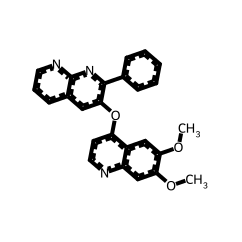 COc1cc2nccc(Oc3cc4cccnc4nc3-c3ccccc3)c2cc1OC